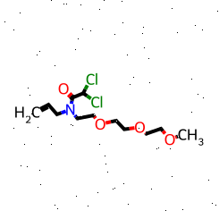 C=CCN(CCOCCOCCOC)C(=O)C(Cl)Cl